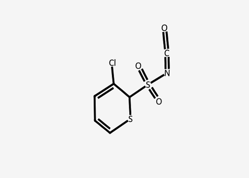 O=C=NS(=O)(=O)C1SC=CC=C1Cl